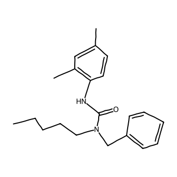 CCCCCN(Cc1ccccc1)C(=O)Nc1ccc(C)cc1C